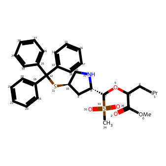 COC(=O)C(CC(C)C)OC([C@@H]1C[C@@H](SC(c2ccccc2)(c2ccccc2)c2ccccc2)CN1)S(C)(=O)=O